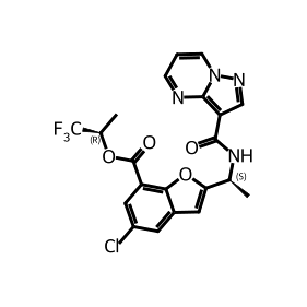 C[C@H](NC(=O)c1cnn2cccnc12)c1cc2cc(Cl)cc(C(=O)O[C@H](C)C(F)(F)F)c2o1